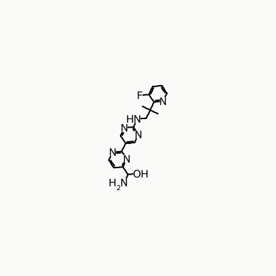 CC(C)(CNc1ncc(-c2nccc(C(N)O)n2)cn1)c1ncccc1F